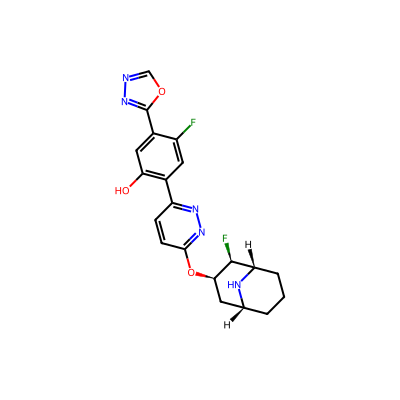 Oc1cc(-c2nnco2)c(F)cc1-c1ccc(O[C@@H]2C[C@H]3CCC[C@H](N3)[C@@H]2F)nn1